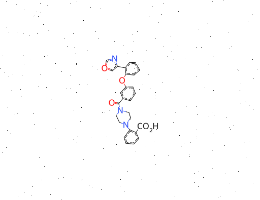 O=C(O)c1ccccc1N1CCN(C(=O)c2cccc(Oc3ccccc3-c3cocn3)c2)CC1